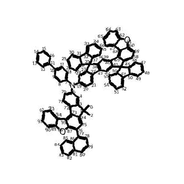 CC1(C)c2cc(N(c3ccc(-c4ccccc4)cc3)c3ccc4c(c3)C3(c5ccccc5-c5ccccc53)c3cc5c(cc3-4)C3(c4ccccc4-c4ccccc43)c3ccc4oc6ccccc6c4c3-5)ccc2-c2c1cc(-c1cccc3ccccc13)c1oc3ccccc3c21